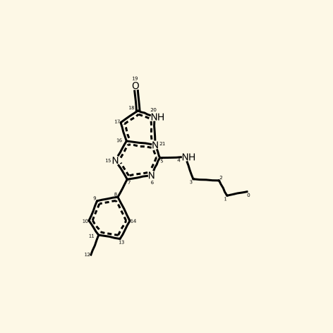 CCCCNc1nc(-c2ccc(C)cc2)nc2cc(=O)[nH]n12